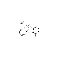 C=CCC1(Nc2c(Cl)cccc2Cl)C=CC=CC1OC(C)=O